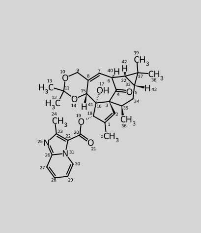 CC1=C[C@]23C(=O)[C@@H](C=C4COC(C)(C)O[C@H]4[C@]2(O)[C@H]1OC(=O)c1c(C)nc2ccccn12)[C@H]1[C@@H](C[C@H]3C)C1(C)C